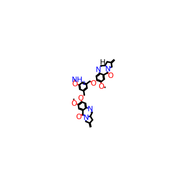 C=C1CC2C=Nc3cc(OCc4cc(COc5cc6c(cc5OC)C(=O)N5CC(=C)C[C@H]5C=N6)cc(ON)c4)c(OC)cc3C(=O)N2C1